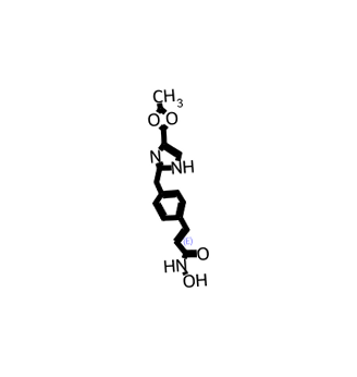 CC1OC(c2c[nH]c(Cc3ccc(/C=C/C(=O)NO)cc3)n2)O1